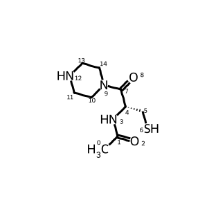 CC(=O)N[C@@H](CS)C(=O)N1CCNCC1